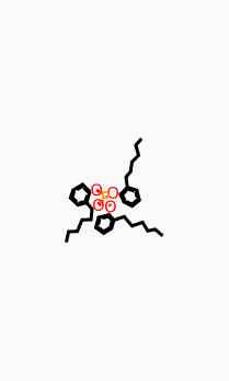 CCCCCCc1ccccc1OP(=O)(Oc1ccccc1CCCCCC)Oc1ccccc1CCCCCC